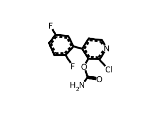 NC(=O)Oc1c(-c2cc(F)ccc2F)ccnc1Cl